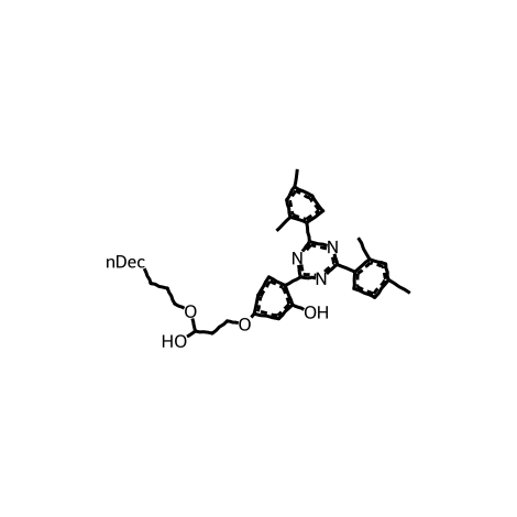 CCCCCCCCCCCCCOC(O)CCOc1ccc(-c2nc(-c3ccc(C)cc3C)nc(-c3ccc(C)cc3C)n2)c(O)c1